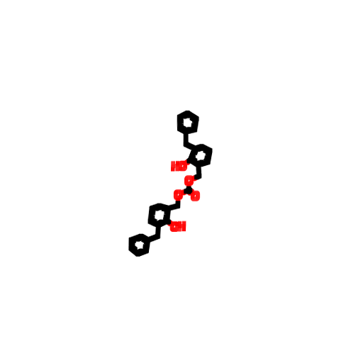 O=C(OCc1cccc(Cc2ccccc2)c1O)OCc1cccc(Cc2ccccc2)c1O